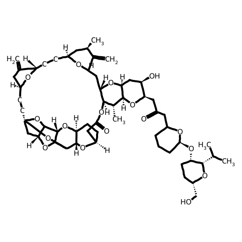 C=C1C[C@@H]2CC[C@@]34C[C@H]5OC6C(O3)[C@H]3O[C@H](CC[C@@H]3O[C@H]6C5O4)CC(=O)O[C@@H]3[C@@H](C)[C@@H]4O[C@H](CC(=O)CC5CCC[C@H](O[C@H]6CC[C@@H](CO)O[C@H]6C(C)C)O5)[C@H](O)C[C@@H]4O[C@H]3C[C@H]3O[C@@H](CC[C@@H]1O2)C[C@@H](C)C3=C